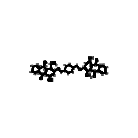 Nc1c(OCC2CCC(COc3cc(O)c4c(c3N)C(=O)c3ccccc3C4=O)CC2)cc(O)c2c1C(=O)c1ccccc1C2=O